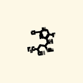 CC(C)(C)C(CC(O)C(F)(F)F)Nc1nc(Cl)ncc1F